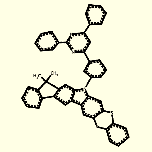 CC1(C)c2ccccc2-c2cc3c4cc5c(cc4n(-c4cccc(-c6cc(-c7ccccc7)nc(-c7ccccc7)n6)c4)c3cc21)Sc1ccccc1S5